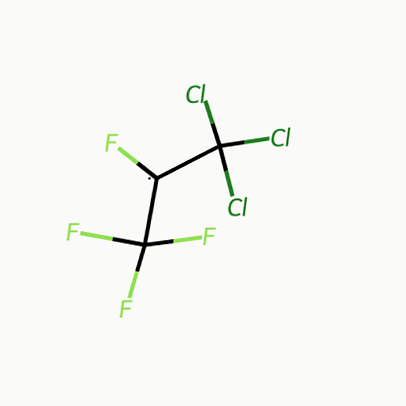 F[C](C(F)(F)F)C(Cl)(Cl)Cl